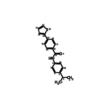 CC(C)c1ccc(NC(=O)c2ccc(-c3cccs3)cc2)cc1